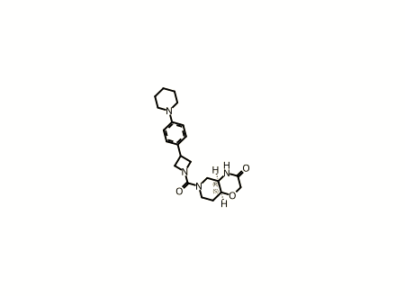 O=C1CO[C@H]2CCN(C(=O)N3CC(c4ccc(N5CCCCC5)cc4)C3)C[C@H]2N1